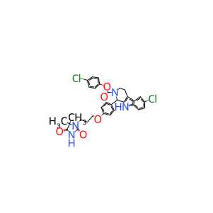 CC1(C)C(=O)NC(=O)N1CCCOc1ccc(C2c3[nH]c4ccc(Cl)cc4c3CCN2C(=O)Oc2ccc(Cl)cc2)cc1